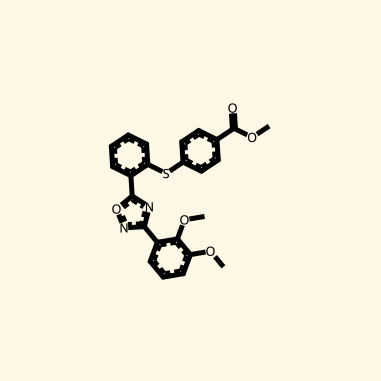 COC(=O)c1ccc(Sc2ccccc2-c2nc(-c3cccc(OC)c3OC)no2)cc1